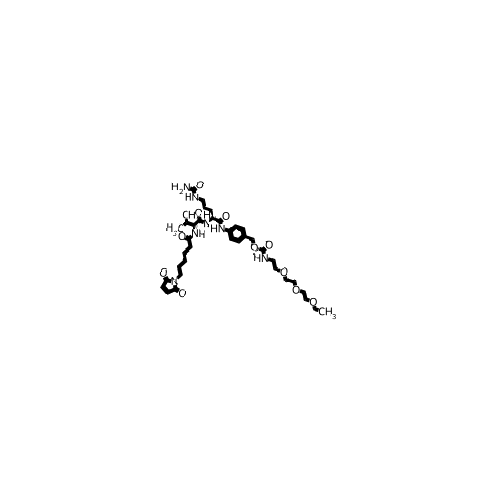 CCOCCOCCOCCNC(=O)OCc1ccc(NC(=O)[C@H](CCCNC(N)=O)NC(=O)[C@@H](NC(=O)CCCCCN2C(=O)C=CC2=O)C(C)C)cc1